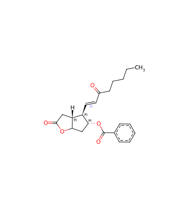 CCCCCC(=O)/C=C/[C@H]1[C@H](OC(=O)c2ccccc2)CC2OC(=O)C[C@@H]21